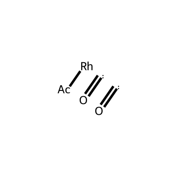 C[C](=O)[Rh].[C]=O.[C]=O